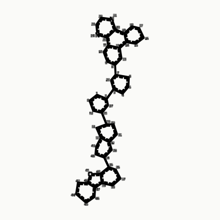 c1cc(-c2cccc(-c3ccc4c(c3)c3ccccc3c3nccnc43)c2)cc(-c2ccc3cc(-c4cccc5c4oc4ccccc45)ccc3c2)c1